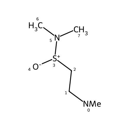 CNCC[S+]([O-])N(C)C